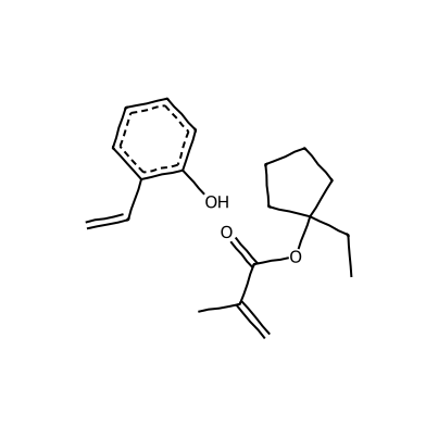 C=C(C)C(=O)OC1(CC)CCCC1.C=Cc1ccccc1O